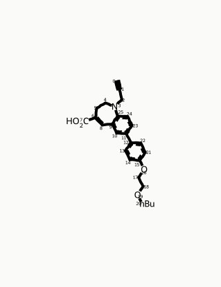 C#CCN1CCC(C(=O)O)=Cc2cc(-c3ccc(OCCOCCCC)cc3)ccc21